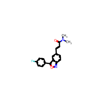 CN(C)C(=O)C=Cc1ccc2noc(-c3ccc(F)cc3)c2c1